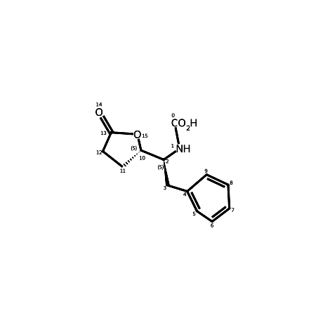 O=C(O)N[C@@H](Cc1ccccc1)[C@@H]1CCC(=O)O1